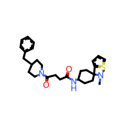 CN(C)C1(c2cccs2)CCC(NC(=O)CCC(=O)N2CCC(Cc3ccccc3)CC2)CC1